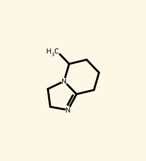 CC1CCCC2=NCCN21